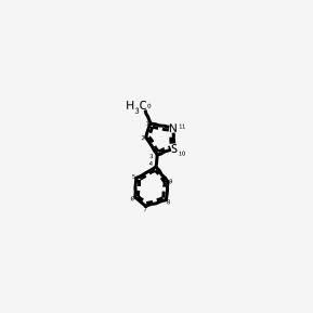 Cc1cc(-c2ccccc2)sn1